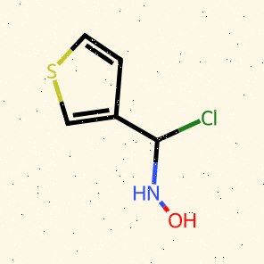 ONC(Cl)c1ccsc1